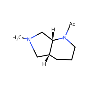 CC(=O)N1CCC[C@@H]2CN(C)C[C@@H]21